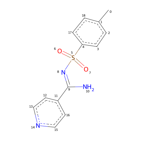 Cc1ccc(S(=O)(=O)N=C(N)c2ccncc2)cc1